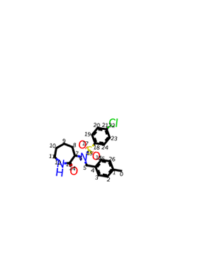 Cc1ccc(CN(C2CCCCNC2=O)S(=O)(=O)c2ccc(Cl)cc2)cc1